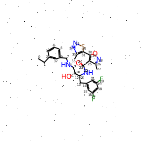 CCc1cccc(CNC[C@@H](O)[C@H](Cc2cc(F)cc(F)c2)NC(=O)c2c(C)noc2-c2snnc2C)c1